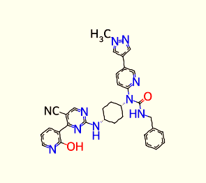 Cn1cc(-c2ccc(N(C(=O)NCc3ccccc3)[C@H]3CC[C@@H](Nc4ncc(C#N)c(-c5cccnc5O)n4)CC3)nc2)cn1